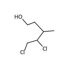 CC(CCO)C(Cl)CCl